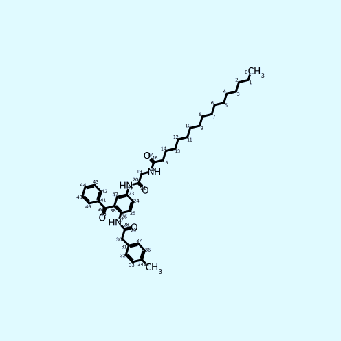 CCCCCCCCCCCCCCCCC(=O)NCC(=O)Nc1ccc(NC(=O)Cc2ccc(C)cc2)c(C(=O)c2ccccc2)c1